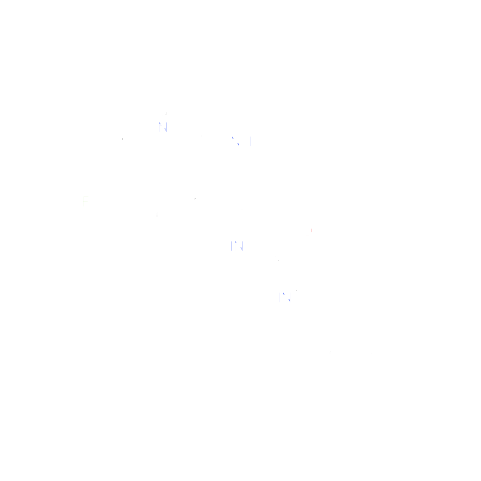 O=C(Nc1ccccc1)Nc1c[nH]c2ncc(F)cc12